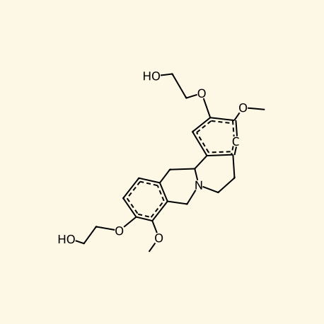 COc1cc2c(cc1OCCO)C1Cc3ccc(OCCO)c(OC)c3CN1CC2